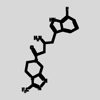 NC(CC(=O)N1CCn2c(nnc2C(F)(F)F)C1)Cc1c[nH]c2c(F)cccc12